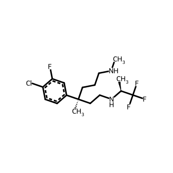 CNCCC[C@@](C)(CCN[C@@H](C)C(F)(F)F)c1ccc(Cl)c(F)c1